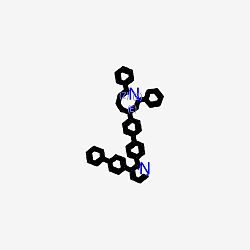 C1=CCCC(C2C=CC(c3cccnc3-c3ccc(-c4ccc(/C5=C/C(C6C=CC=CC6)=N\C(c6ccccc6)=C/CC5)cc4)cc3)=CC2)=C1